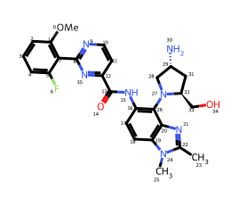 COc1cccc(F)c1-c1nccc(C(=O)Nc2ccc3c(nc(C)n3C)c2N2C[C@H](N)C[C@H]2CO)n1